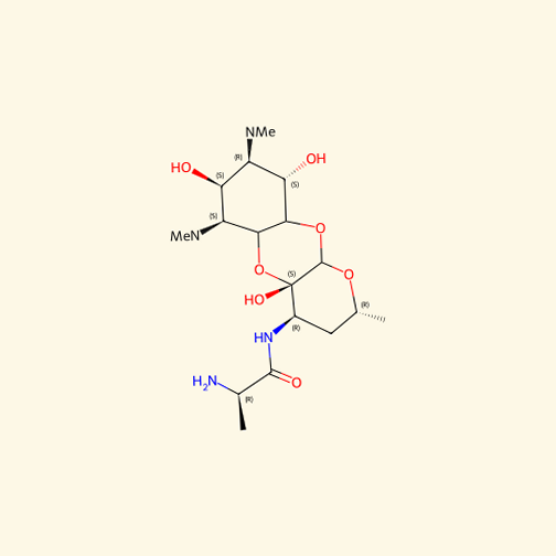 CN[C@@H]1[C@H](O)[C@H](NC)C2O[C@]3(O)C(OC2[C@H]1O)O[C@H](C)C[C@H]3NC(=O)[C@@H](C)N